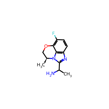 CC(N)c1nc2ccc(F)c3c2n1[C@@H](C)CO3